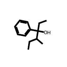 CCC(C)C(O)(CC)c1ccccc1